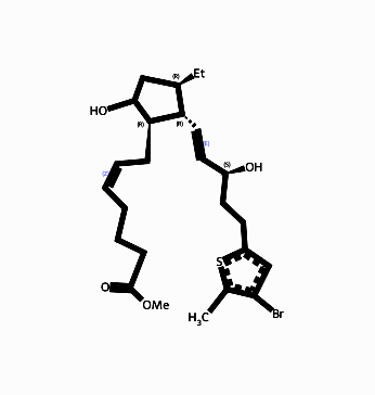 CC[C@@H]1CC(O)[C@H](C/C=C\CCCC(=O)OC)[C@H]1/C=C/[C@@H](O)CCc1cc(Br)c(C)s1